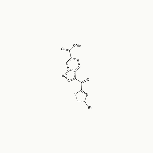 COC(=O)c1ccc2c(C(=O)C3=NC(C(C)C)CS3)c[nH]c2c1